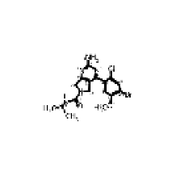 COc1cc(-c2nc(N)nc3c2CN(C(=O)NN(C)C)C3)c(Cl)cc1Br